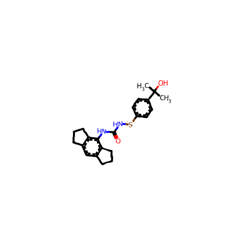 CC(C)(O)c1ccc(SNC(=O)Nc2c3c(cc4c2CCC4)CCC3)cc1